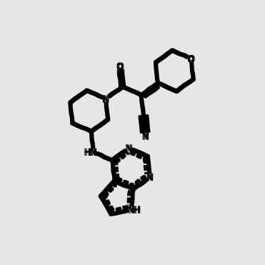 N#CC(C(=O)N1CCCC(Nc2ncnc3[nH]ccc23)C1)=C1CCOCC1